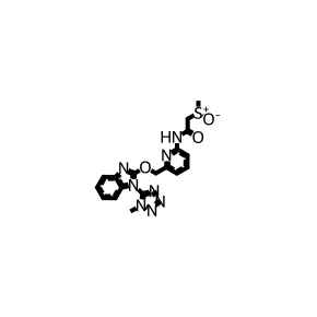 Cn1nnnc1-n1c(OCc2cccc(NC(=O)C[S+](C)[O-])n2)nc2ccccc21